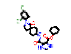 O=C(NC1CCC2(CC1)CCN(c1ccc(F)cc1Cl)C2=O)C1=C(C(=O)Oc2ccccc2)NCN1